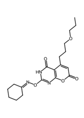 CCCOCCCc1cc(=O)oc2nc(ON=C3CCCCC3)[nH]c(=O)c12